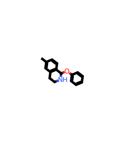 Cc1ccc2c(c1)CCNC2Oc1ccccc1